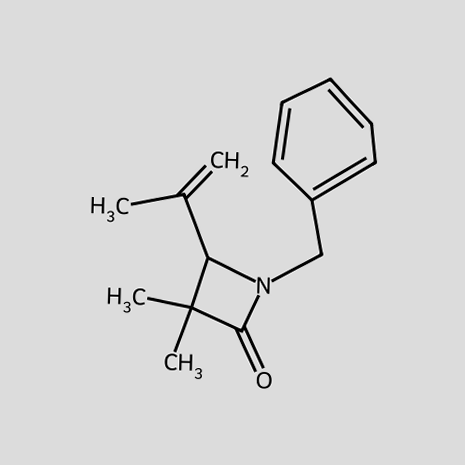 C=C(C)C1N(Cc2ccccc2)C(=O)C1(C)C